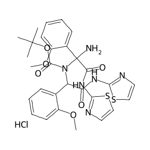 COc1ccccc1C(C(=O)Nc1nccs1)N(C(=O)OC(C)(C)C)C(N)(C(=O)Nc1nccs1)c1ccccc1OC.Cl